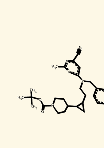 Cc1nc(C#N)cc(P(CCC2CC2C2CCN(C(=O)OC(C)(C)C)CC2)Cc2ccccc2)n1